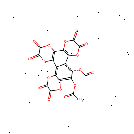 CC(=O)Oc1c(OC=O)c2c3oc(=O)c(=O)oc3c3oc(=O)c(=O)oc3c2c2oc(=O)c(=O)oc12